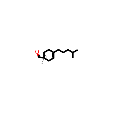 CC(C)CCCC1=CC[C@@](C)(C=O)CC1